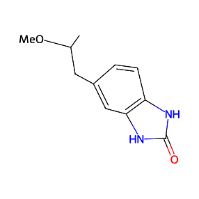 COC(C)Cc1ccc2[nH]c(=O)[nH]c2c1